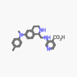 Cc1ccc(N(C)c2ccc3c(c2)CCNC3CNc2cnccc2C(=O)O)cc1